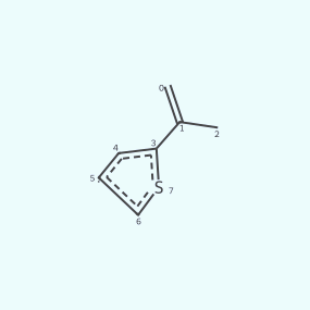 C=C(C)c1c[c]cs1